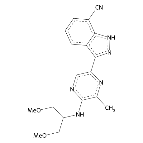 COCC(COC)Nc1ncc(-c2n[nH]c3c(C#N)cccc23)nc1C